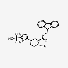 C[C@@H]1CC[C@@H](c2nc(C(C)(C)O)cs2)CN1C(=O)OCC1c2ccccc2-c2ccccc21